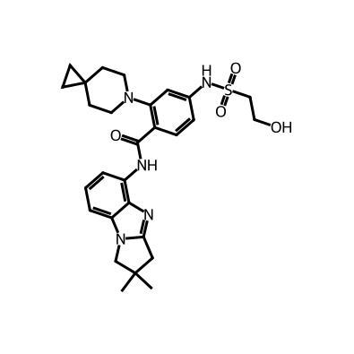 CC1(C)Cc2nc3c(NC(=O)c4ccc(NS(=O)(=O)CCO)cc4N4CCC5(CC4)CC5)cccc3n2C1